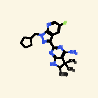 CC1(C)c2c(N)nc(-c3nn(CC4CCCC4)c4ncc(F)cc34)nc2NC1C=O